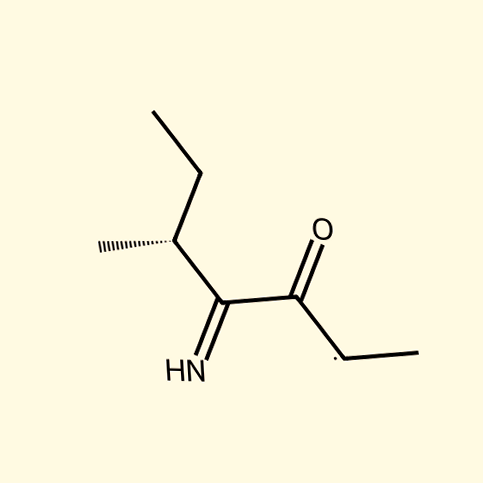 C[CH]C(=O)C(=N)[C@H](C)CC